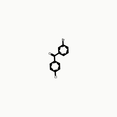 O=C(c1ccc(Cl)cc1)c1cccc(Br)c1